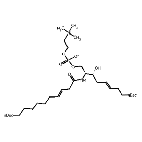 CCCCCCCCCCCCC=CC[C@@H](O)[C@H](COP(=O)([O-])OCC[N+](C)(C)C)NC(=O)CC=CCCCCCCCCCCCCCCCC